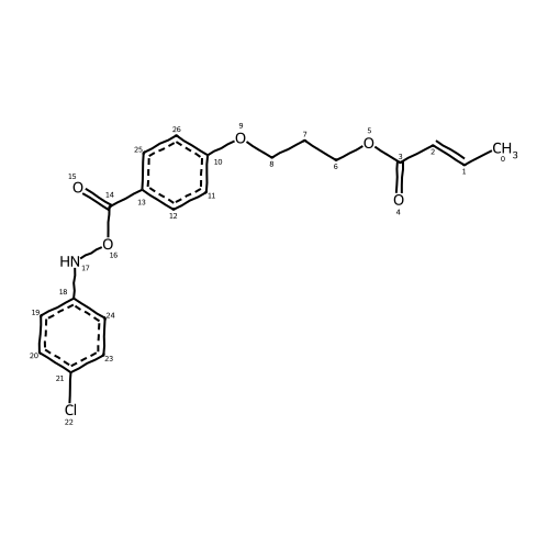 CC=CC(=O)OCCCOc1ccc(C(=O)ONc2ccc(Cl)cc2)cc1